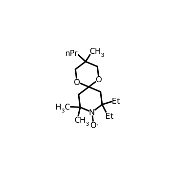 CCCC1(C)COC2(CC(C)(C)N([O])C(CC)(CC)C2)OC1